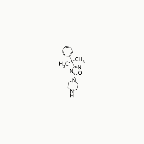 CC(C)(c1ccccc1)c1noc(N2CCNCC2)n1